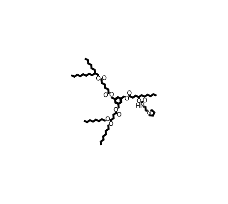 CCCCCCCCOC(CCC(=O)OCc1cc(COC(=O)CCCCC(=O)OCC(CCCCCC)CCCCCCCC)cc(COC(=O)CCC(CCCCCC)OC(=O)NCCN2CCCC2)c1)OCCCCCCCC